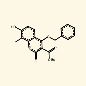 Cc1c(O)ccc2c(OCc3ccccc3)c(C(=O)OCC(C)C)c(=O)oc12